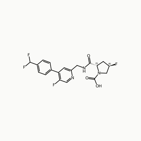 O=C(NCc1cc(-c2ccc(C(F)F)cc2)c(F)cn1)[C@@H]1C[C@@H](F)CN1C(=O)O